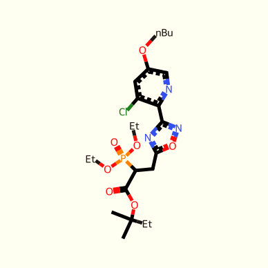 CCCCOc1cnc(-c2noc(CC(C(=O)OC(C)(C)CC)P(=O)(OCC)OCC)n2)c(Cl)c1